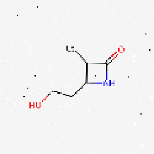 CCC1C(=O)NC1CCO